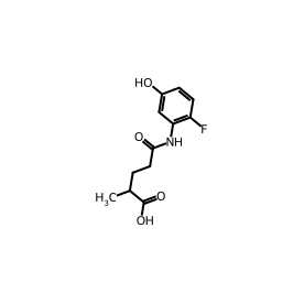 CC(CCC(=O)Nc1cc(O)ccc1F)C(=O)O